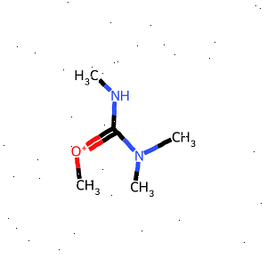 CNC(=[O+]C)N(C)C